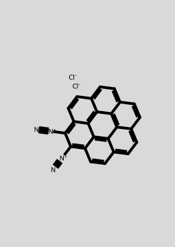 N#[N+]c1c([N+]#N)c2ccc3ccc4ccc5ccc6ccc1c1c6c5c4c3c21.[Cl-].[Cl-]